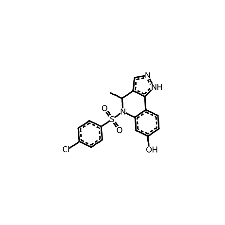 CC1c2cn[nH]c2-c2ccc(O)cc2N1S(=O)(=O)c1ccc(Cl)cc1